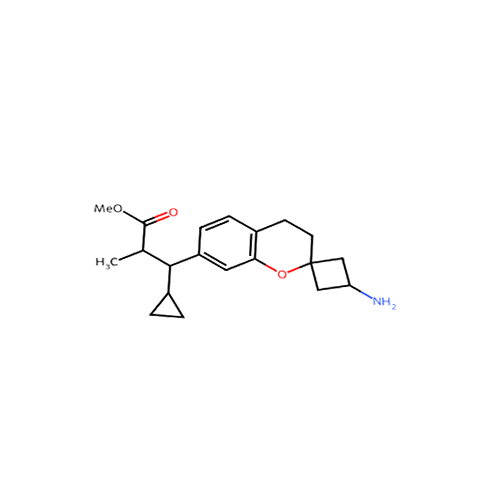 COC(=O)C(C)C(c1ccc2c(c1)OC1(CC2)CC(N)C1)C1CC1